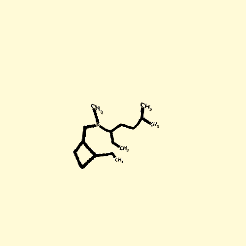 CCC1CCC1CP(C)C(CC)CCC(C)C